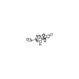 Cl.O=C(Nc1ccc(Cl)cc1Cl)Nc1ncnc2c1cnn2CCN1CCOCC1